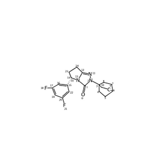 O=c1n(C23CCC(CC2)CC3)nc2n1[C@H](c1cc(F)cc(F)c1)CC2